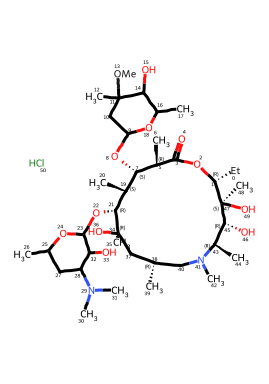 CC[C@H]1OC(=O)[C@H](C)[C@@H](OC2CC(C)(OC)C(O)C(C)O2)[C@H](C)[C@@H](OC2OC(C)CC(N(C)C)C2O)[C@](C)(O)C[C@@H](C)CN(C)[C@H](C)[C@@H](O)[C@]1(C)O.Cl